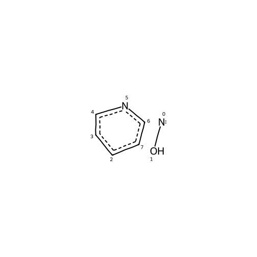 [N]O.c1ccncc1